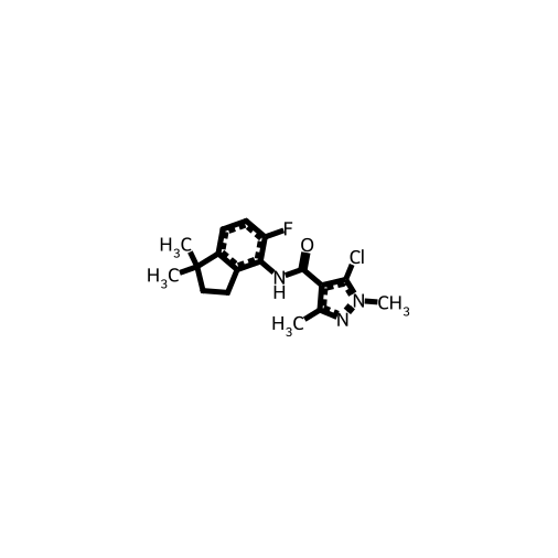 Cc1nn(C)c(Cl)c1C(=O)Nc1c(F)ccc2c1CCC2(C)C